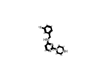 Fc1cccc(CNc2ccnc(N3CCNCC3)n2)c1